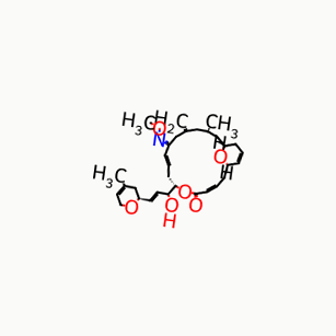 C=C1CC(=N\OC)/C=C/C[C@@H]([C@@H](O)/C=C/[C@@H]2CC(C)=CCO2)OC(=O)/C=C\C[C@@H]2C=CC[C@@H](C[C@@H](C)C1)O2